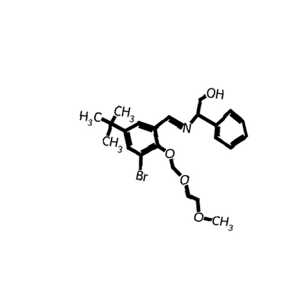 COCCOCOc1c(Br)cc(C(C)(C)C)cc1C=NC(CO)c1ccccc1